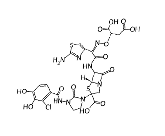 Nc1nc(/C(=N/OC(CC(=O)O)C(=O)O)C(=O)NC2C(=O)N3CC(C(=O)O)(N4CCN(NC(=O)c5ccc(O)c(O)c5Cl)C4=O)S[C@H]23)cs1